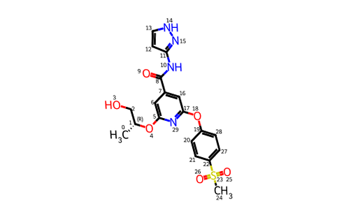 C[C@H](CO)Oc1cc(C(=O)Nc2cc[nH]n2)cc(Oc2ccc(S(C)(=O)=O)cc2)n1